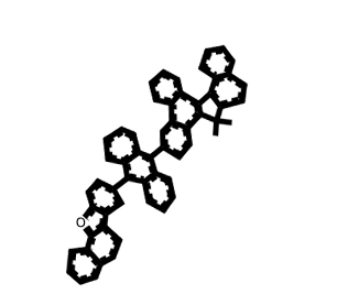 CC1(C)c2ccc3ccccc3c2-c2c1c1ccc(-c3c4ccccc4c(-c4ccc5oc6c7ccccc7ccc6c5c4)c4ccccc34)cc1c1ccccc21